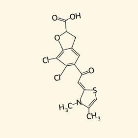 CC1=CSC(=CC(=O)c2cc3c(c(Cl)c2Cl)OC(C(=O)O)C3)N1C